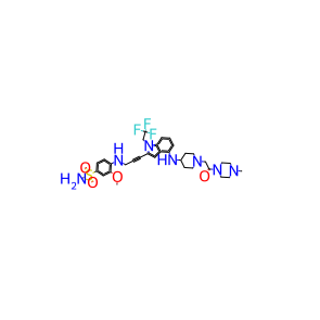 COc1cc(S(N)(=O)=O)ccc1NCC#Cc1cc2c(NC3CCN(CC(=O)N4CCN(C)CC4)CC3)cccc2n1CC(F)(F)F